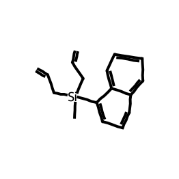 C=CC[Si](C)(CC=C)c1cccc2ccccc12